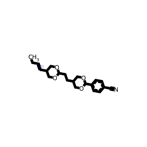 CC/C=C/C1COC(CCC2COC(c3ccc(C#N)cc3)OC2)OC1